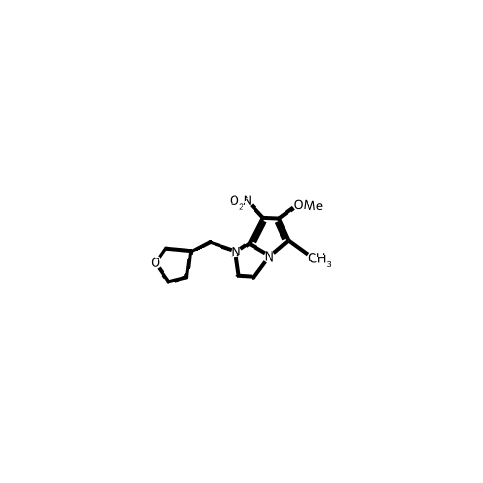 COc1c([N+](=O)[O-])c2n(c1C)CCN2CC1CCOC1